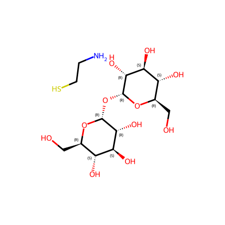 NCCS.OC[C@H]1O[C@H](O[C@H]2O[C@H](CO)[C@@H](O)[C@H](O)[C@H]2O)[C@H](O)[C@@H](O)[C@@H]1O